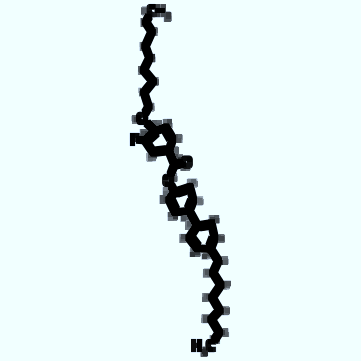 CCCCCCCCCOc1ccc(C(=O)Oc2ccc(-c3ccc(CCCCCCCC)cc3)cc2)cc1F